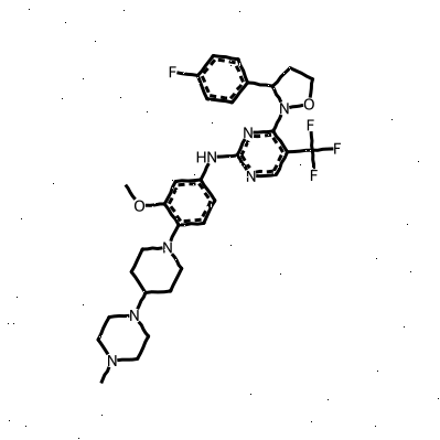 COc1cc(Nc2ncc(C(F)(F)F)c(N3OCCC3c3ccc(F)cc3)n2)ccc1N1CCC(N2CCN(C)CC2)CC1